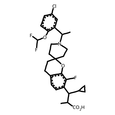 CC(C(=O)O)C(c1ccc2c(c1F)OC1(CC2)CCN(C(C)c2cc(Cl)ccc2OC(F)F)CC1)C1CC1